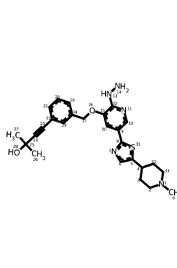 CN1CCC(c2cnc(-c3cnc(NN)c(OCc4cccc(C#CC(C)(C)O)c4)c3)s2)CC1